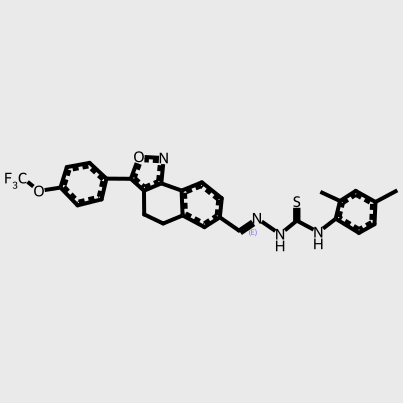 Cc1ccc(NC(=S)N/N=C/c2ccc3c(c2)CCc2c-3noc2-c2ccc(OC(F)(F)F)cc2)c(C)c1